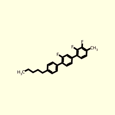 CCCCCc1ccc(-c2ccc(-c3ccc(C)c(F)c3F)cc2F)cc1